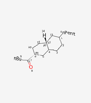 CCCCCC1CCC2C[C@H](C(=O)CCCC)CC[C@@H]2C1